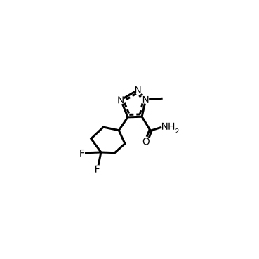 Cn1nnc(C2CCC(F)(F)CC2)c1C(N)=O